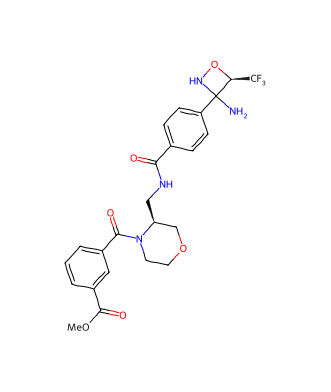 COC(=O)c1cccc(C(=O)N2CCOC[C@@H]2CNC(=O)c2ccc(C3(N)NO[C@H]3C(F)(F)F)cc2)c1